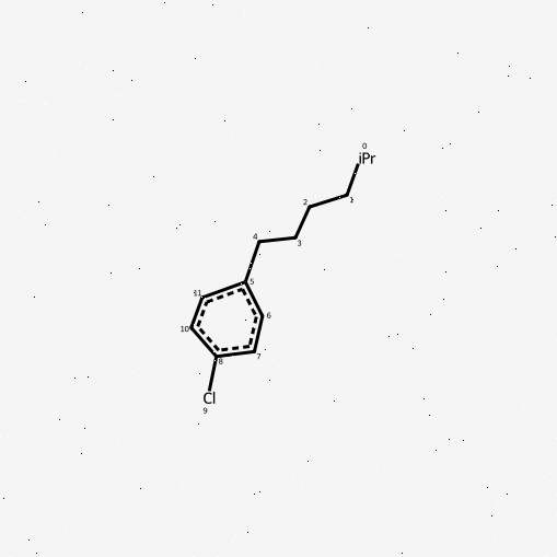 CC(C)CCCCc1ccc(Cl)cc1